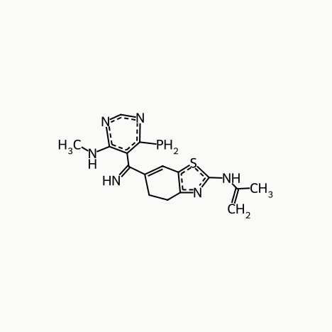 C=C(C)Nc1nc2c(s1)C=C(C(=N)c1c(P)ncnc1NC)CC2